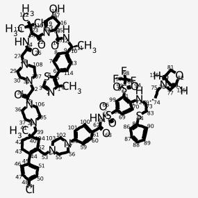 Cc1ncsc1-c1ccc([C@H](C)NC(=O)[C@@H]2C[C@@H](O)CN2C(=O)[C@@H](NC(=O)CN2CCN(CC(=O)N3CCN(CC4(C)CCC(c5ccc(Cl)cc5)=C(CN5CCN(c6ccc(C(=O)NS(=O)(=O)c7ccc(N[C@H](CCN8C[C@H]9C[C@@H]8CO9)CSc8ccccc8)c(S(=O)(=O)C(F)(F)F)c7)cc6)CC5)C4)CC3)CC2)C(C)(C)C)cc1